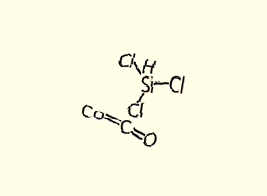 Cl[SiH](Cl)Cl.O=[C]=[Co]